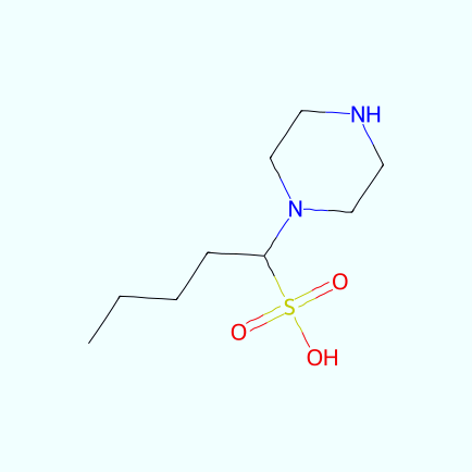 CCCCC(N1CCNCC1)S(=O)(=O)O